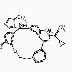 C=C1C=NN=C1[C@@]1(N)c2ccc(Cl)c(c2)OCCc2cccc(c2)/C(=C/C(=O)C(=C)C2CC2)c2cc1ccc2C